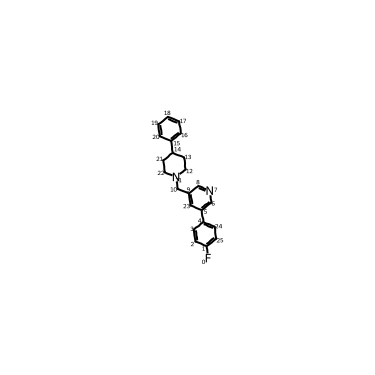 Fc1ccc(-c2cncc(CN3CCC(c4ccccc4)CC3)c2)cc1